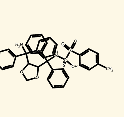 Cc1ccc(S(=O)(=O)P(O)(=S)NC(c2ccccc2)(c2ccccc2)C2OCOC2C(N)(c2ccccc2)c2ccccc2)cc1